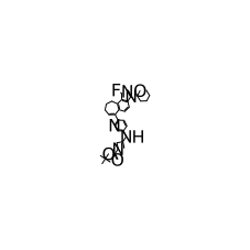 CC(C)(C)OC(=O)N1CC(Nc2ccc(C3=CCCCc4c3ccc3c4c(F)nn3C3CCCCO3)nc2)C1